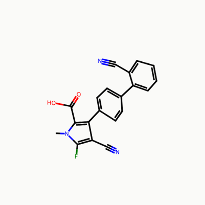 Cn1c(F)c(C#N)c(-c2ccc(-c3ccccc3C#N)cc2)c1C(=O)O